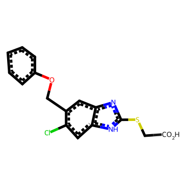 O=C(O)CSc1nc2cc(COc3ccccc3)c(Cl)cc2[nH]1